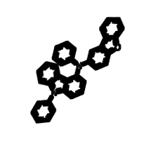 c1ccc(N(c2ccc3oc4ccccc4c3c2)c2cccc3c2c2ccccc2n3-c2ccccc2)cc1